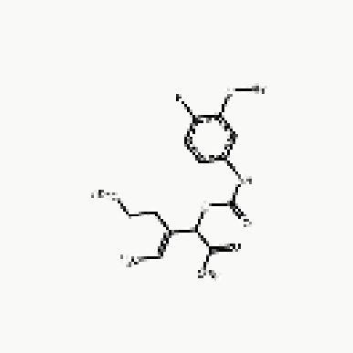 CC=C(CCCCCCCCCCCC)C(OC(=O)Nc1ccc(F)c(OC(C)C)c1)C(=O)OCC(C)C